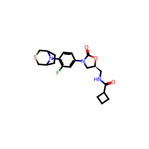 O=C(NC[C@H]1CN(c2ccc(N3C4CCC3CSC4)c(F)c2)C(=O)O1)C1CCC1